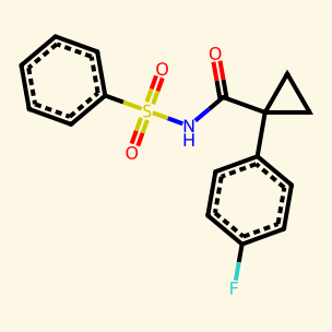 O=C(NS(=O)(=O)c1ccccc1)C1(c2ccc(F)cc2)CC1